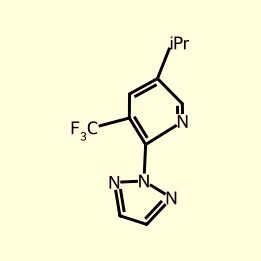 CC(C)c1cnc(-n2nccn2)c(C(F)(F)F)c1